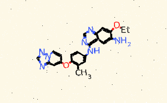 CCOc1cc2ncnc(Nc3ccc(Oc4ccn5ncnc5c4)c(C)c3)c2cc1N